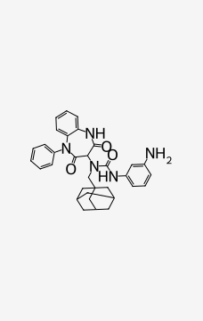 Nc1cccc(NC(=O)N(CC23CC4CC(CC(C4)C2)C3)C2C(=O)Nc3ccccc3N(c3ccccc3)C2=O)c1